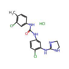 Cc1ccc(NC(=O)Nc2ccc(Cl)c(NC3=NCCN3)c2)cc1Cl.Cl